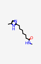 CNC(=O)CCCCCCc1ncc(C)[nH]1